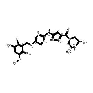 COc1cc(C)c(F)c(COc2cnc(Nc3cc(C(=O)N4C[C@@H](C)N[C@@H](C)C4)n[nH]3)nc2)c1F